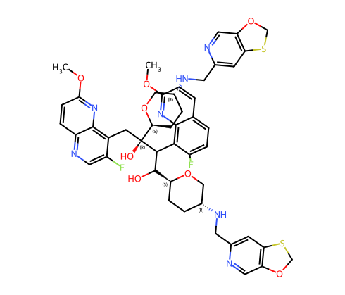 COc1ccc2ccc(F)c(C(C(O)[C@@H]3CC[C@@H](NCc4cc5c(cn4)OCS5)CO3)[C@](O)(Cc3c(F)cnc4ccc(OC)nc34)[C@@H]3CC[C@@H](NCc4cc5c(cn4)OCS5)CO3)c2n1